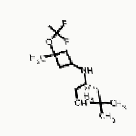 CC(C)(C)C[C@H](CO)NC1CC(C)(OC(F)(F)F)C1